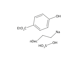 CCCCCCCCCCC[CH2][Na].CCOC(=O)c1ccc(O)cc1.O=S(=O)(O)O